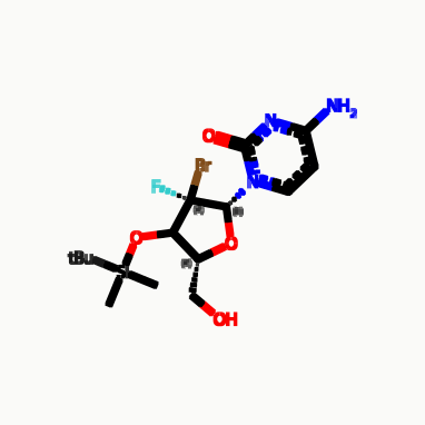 CC(C)(C)[Si](C)(C)OC1[C@@H](CO)O[C@@H](n2ccc(N)nc2=O)[C@]1(F)Br